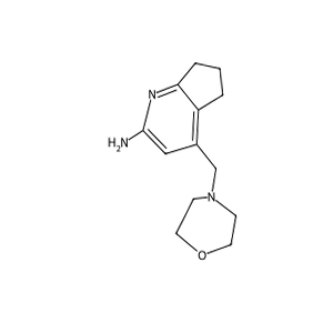 Nc1cc(CN2CCOCC2)c2c(n1)CCC2